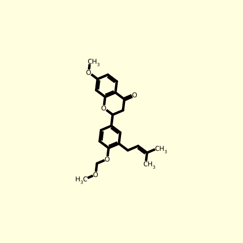 COCOc1ccc(C2CC(=O)c3ccc(OC)cc3O2)cc1CC=C(C)C